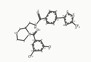 O=C(NCC1COCCN1C(=O)c1cc(Cl)cc(Cl)c1)c1ccc(-c2noc(C(F)(F)F)n2)cc1